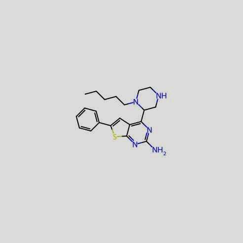 CCCCCN1CCNCC1c1nc(N)nc2sc(-c3ccccc3)cc12